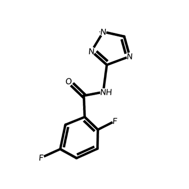 O=C(NC1=N[N]C=N1)c1cc(F)ccc1F